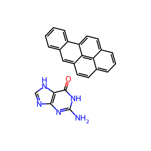 Nc1nc2nc[nH]c2c(=O)[nH]1.c1ccc2c(c1)cc1ccc3cccc4ccc2c1c34